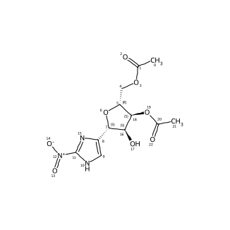 CC(=O)OC[C@H]1O[C@@H](c2c[nH]c([N+](=O)[O-])n2)[C@H](O)[C@@H]1OC(C)=O